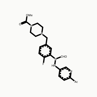 COC(=O)N1CCN(Cc2ccc(F)c(N(C=O)Nc3ccc(C(C)=O)nc3)c2)CC1